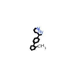 Cc1ccccc1-c1ccc(-c2cnn3ncccc23)cc1